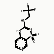 O=S1(=O)N=C(NCC(F)(F)F)Nc2ccncc21